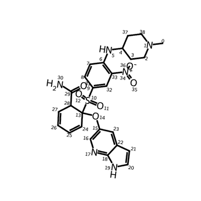 CN1CCC(Nc2ccc(S(=O)(=O)C3(Oc4cnc5[nH]ccc5c4)C=CC=CC3C(N)=O)cc2[N+](=O)[O-])CC1